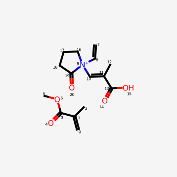 C=C(C)C(=O)OC.C=C[N+]1(C=C(C)C(=O)O)CCCC1=O